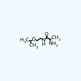 CC(C)OCCNC(=O)[C@H](C)N